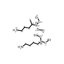 CCO[SiH](CCCCN)OCC.CCO[SiH](OCC)C(C)CCCN